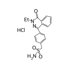 CCn1nc(-c2ccc(CS(N)(=O)=O)cc2)c2ccccc2c1=O.Cl